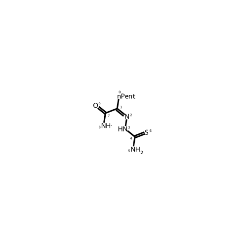 CCCCCC(=NNC(N)=S)C([NH])=O